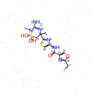 CN1C(N)=N[C@](C)(c2nc(NC(=O)c3coc(CF)n3)cs2)CS1(O)O